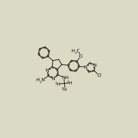 [2H]C([2H])([2H])Nc1nc(N)nc2c1C(c1ccc(-n3cnc(Cl)c3)c(OC)c1)CC2c1ccccc1